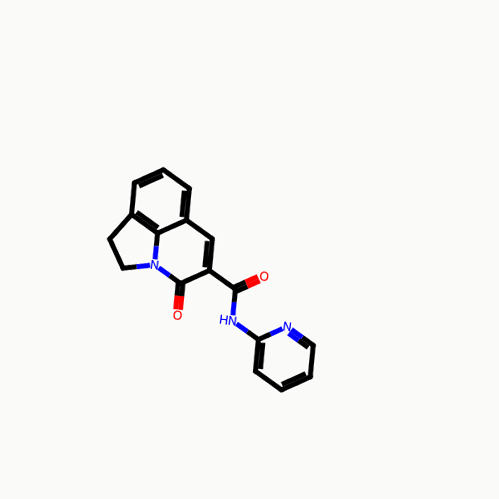 O=C(Nc1ccccn1)c1cc2cccc3c2n(c1=O)CC3